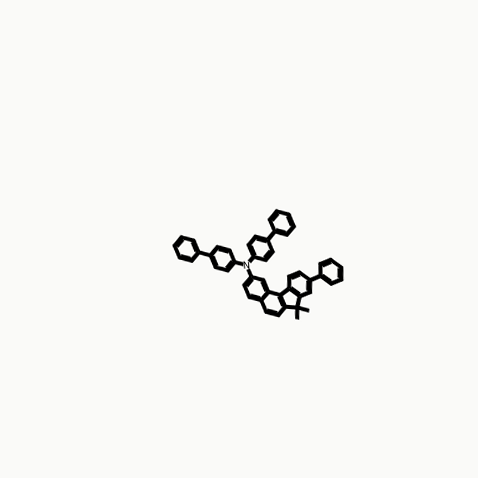 CC1(C)c2cc(-c3ccccc3)ccc2-c2c1ccc1ccc(N(c3ccc(-c4ccccc4)cc3)c3ccc(-c4ccccc4)cc3)cc21